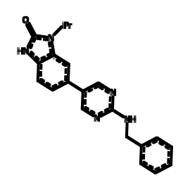 CC(C)n1c(=O)[nH]c2ccc(-c3cnc(NCc4ccccc4)nc3)cc21